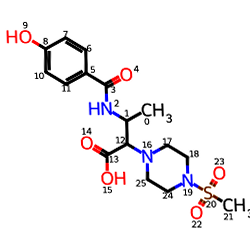 CC(NC(=O)c1ccc(O)cc1)C(C(=O)O)N1CCN(S(C)(=O)=O)CC1